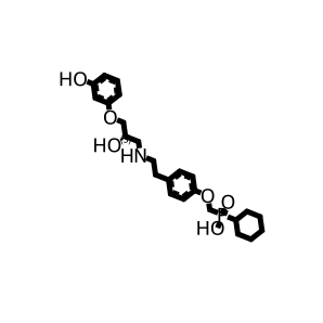 O=P(O)(COc1ccc(CCNC[C@H](O)COc2cccc(O)c2)cc1)C1CCCCC1